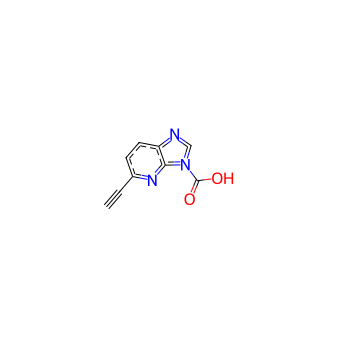 C#Cc1ccc2ncn(C(=O)O)c2n1